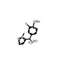 COc1ccc(C(N)c2ccnn2C)cc1F.Cl